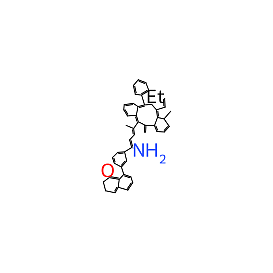 C=C1C2=CC=CC(C)/C2=C(\C=C/CC)C/C(c2ccccc2)=c2/cccc/c2=C1\C(C)=C\C=C(/N)c1ccc2c(c1)-c1cccc3c1=C(CCC=3)O2